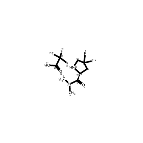 CN(C)C(=O)[C@@H]1CC(F)(F)CN1.O=C(O)C(F)(F)F